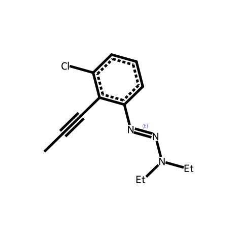 CC#Cc1c(Cl)cccc1/N=N/N(CC)CC